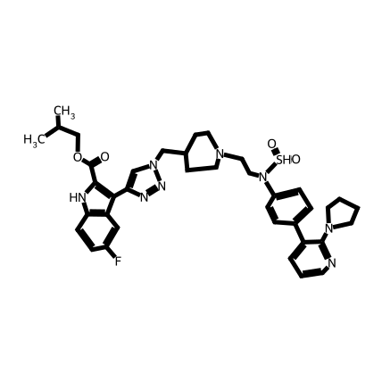 CC(C)COC(=O)c1[nH]c2ccc(F)cc2c1-c1cn(CC2CCN(CCN(c3ccc(-c4cccnc4N4CCCC4)cc3)[SH](=O)=O)CC2)nn1